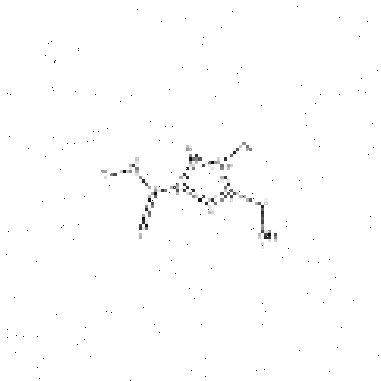 COC(=O)c1cc(CO)n(C)n1